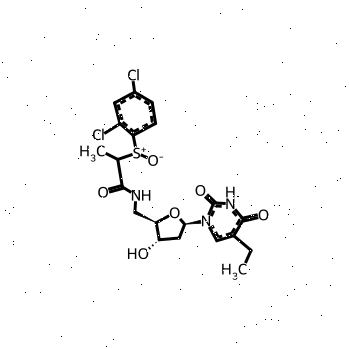 CCc1cn([C@H]2C[C@H](O)[C@@H](CNC(=O)C(C)[S+]([O-])c3ccc(Cl)cc3Cl)O2)c(=O)[nH]c1=O